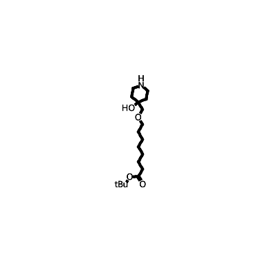 CC(C)(C)OC(=O)CCCCCCCOCC1(O)CCNCC1